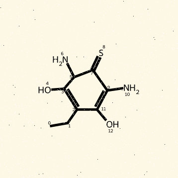 CCC1=C(O)C(N)C(=S)C(N)=C1O